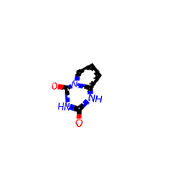 O=c1[nH]c(=O)n2cccc2[nH]1